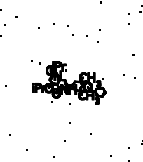 Cc1cc(-c2cc3nc(OC(C)C)cc(OC(C)C)c3c(=O)[nH]2)cc(C)c1OCc1ccccc1